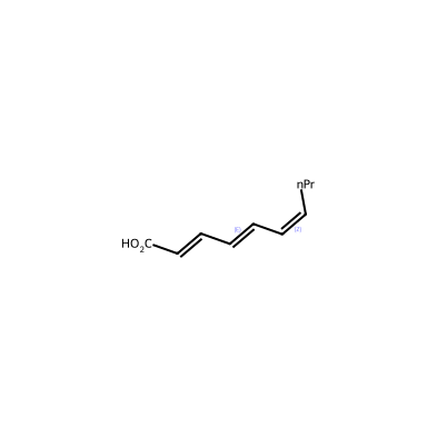 CCC/C=C\C=C\C=CC(=O)O